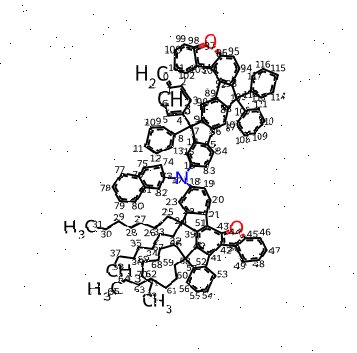 C=C/C=C\C(=C/C)C1(c2ccccc2)c2cc(N(c3ccc4c(c3)C(CCCCCCC)(CCCCCCC)c3c5c(c6c(oc7ccccc76)c3-4)-c3ccccc3C5(CCCCCCC)CCCCCCC)c3ccc4ccccc4c3)ccc2-c2cc3c(cc21)-c1c(ccc2oc4ccccc4c12)C3(c1ccccc1)c1ccccc1